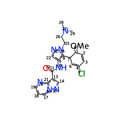 COC1C=CC(Cl)=CC1c1c(NC(=O)c2cnn3cccnc23)cnn1CCN(C)C